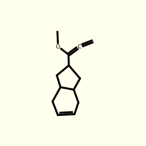 C=C=C(OC)C1CC2CC=CCC2C1